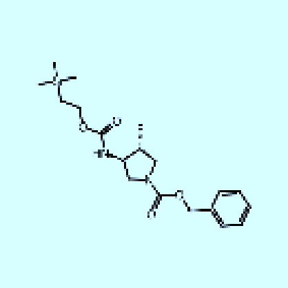 C[Si](C)(C)CCOC(=O)N[C@@H]1CN(C(=O)OCc2ccccc2)C[C@H]1F